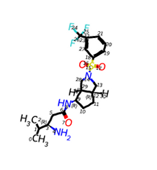 CC(C)[C@H](N)CC(=O)N[C@@H]1CC[C@H]2CN(S(=O)(=O)c3cccc(C(F)(F)F)c3)C[C@H]21